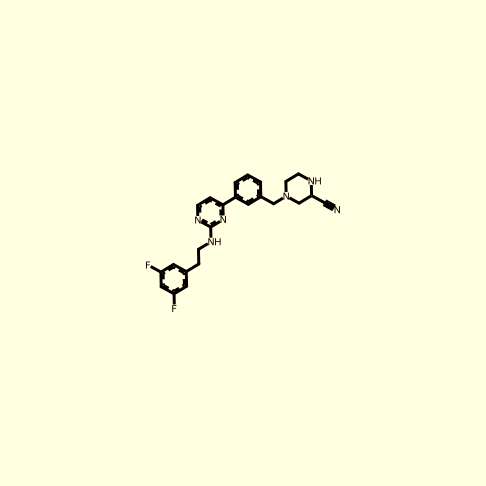 N#CC1CN(Cc2cccc(-c3ccnc(NCCc4cc(F)cc(F)c4)n3)c2)CCN1